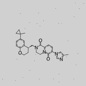 Cc1cn(-c2ccc3n(c2=O)CCN(C[C@H]2CCOc4ccc(C5(C)CC5)cc42)C3=O)cn1